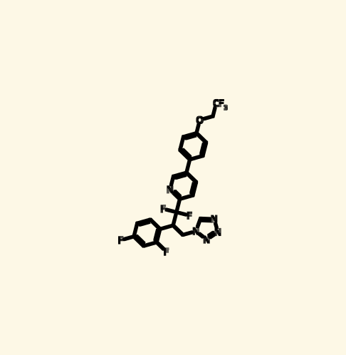 Fc1ccc(C(Cn2cnnn2)C(F)(F)c2ccc(-c3ccc(OCC(F)(F)F)cc3)cn2)c(F)c1